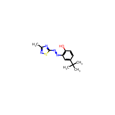 Cc1nsc(N=Nc2cc(C(C)(C)C)ccc2O)n1